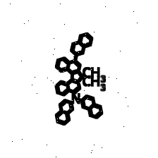 CC1(C)c2cc(-c3ccc4ccccc4c3)c3ccccc3c2-c2c1cc(N(c1ccc3ccccc3c1)c1ccc3ccccc3c1)c1ccccc21